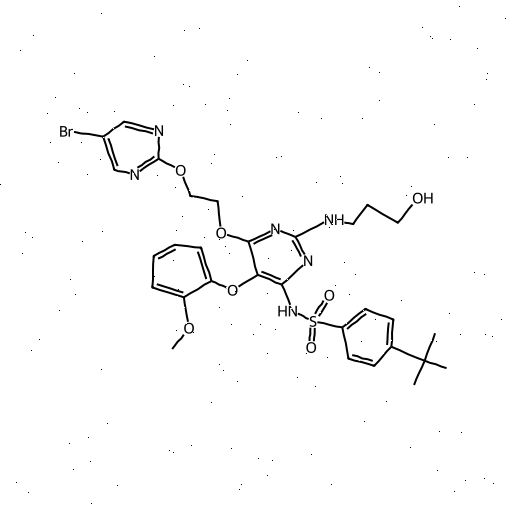 COc1ccccc1Oc1c(NS(=O)(=O)c2ccc(C(C)(C)C)cc2)nc(NCCCO)nc1OCCOc1ncc(Br)cn1